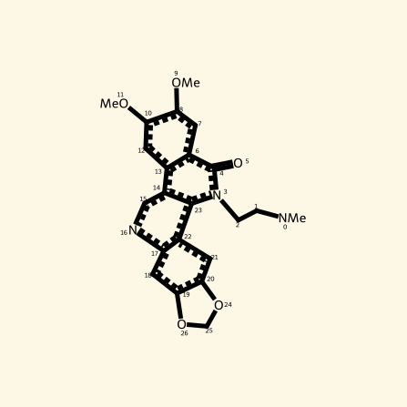 CNCCn1c(=O)c2cc(OC)c(OC)cc2c2cnc3cc4c(cc3c21)OCO4